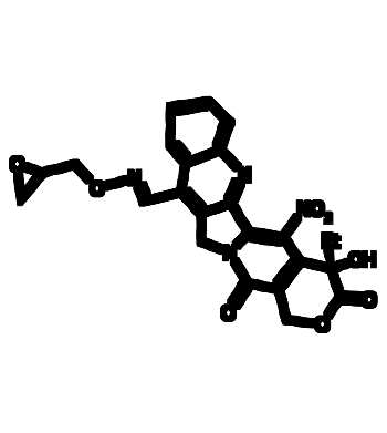 CC[C@@]1(O)C(=O)OCc2c1c([N+](=O)[O-])c1n(c2=O)Cc2c-1nc1ccccc1c2/C=N/OCC1CO1